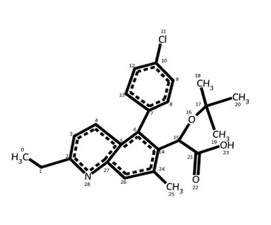 CCc1ccc2c(-c3ccc(Cl)cc3)c(C(OC(C)(C)C)C(=O)O)c(C)cc2n1